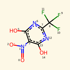 O=[N+]([O-])c1c(O)nc(C(F)(F)F)nc1O